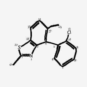 Cc1nc2c(-c3ccccc3Cl)c(C)ccc2s1